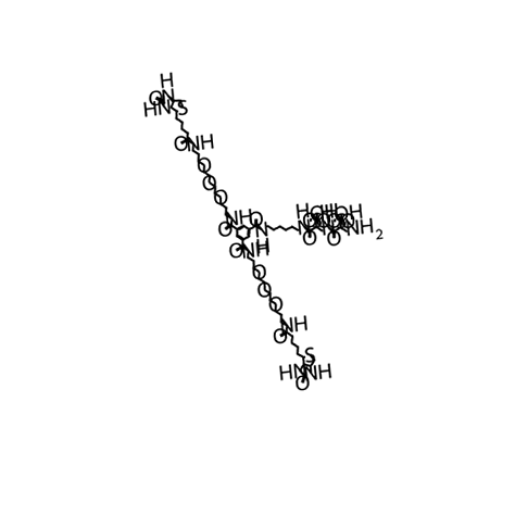 NCC(C(=O)NCC(C(=O)NCCCCCCNC(=O)c1cc(C(=O)NCCCOCCOCCOCCCNC(=O)CCCCC2SCC3NC(=O)NC32)cc(C(=O)NCCCOCCOCCOCCCNC(=O)CCCCC2SCC3NC(=O)NC32)c1)S(=O)(=O)O)S(=O)(=O)O